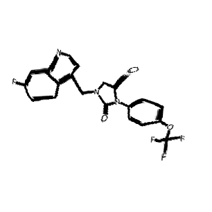 O=C1CN(Cc2ccnc3cc(F)ccc23)C(=O)N1c1ccc(OC(F)(F)F)cc1